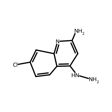 NNc1cc(N)nc2cc(Cl)ccc12